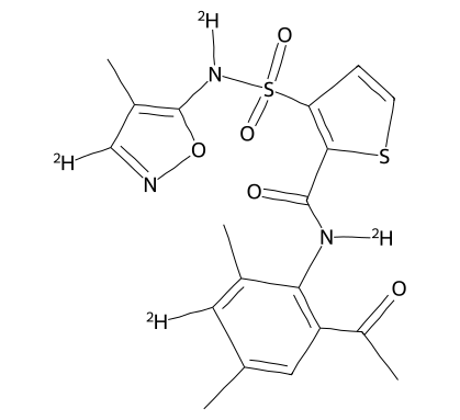 [2H]c1noc(N([2H])S(=O)(=O)c2ccsc2C(=O)N([2H])c2c(C(C)=O)cc(C)c([2H])c2C)c1C